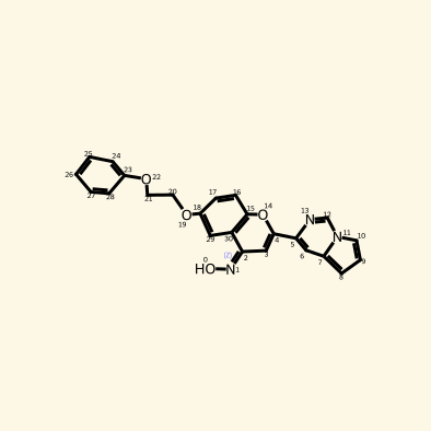 O/N=c1/cc(-c2cc3cccn3cn2)oc2ccc(OCCOc3ccccc3)cc12